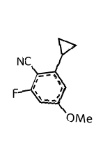 COc1cc(F)c(C#N)c(C2CC2)c1